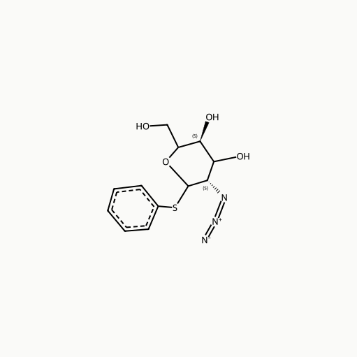 [N-]=[N+]=N[C@@H]1C(Sc2ccccc2)OC(CO)[C@@H](O)C1O